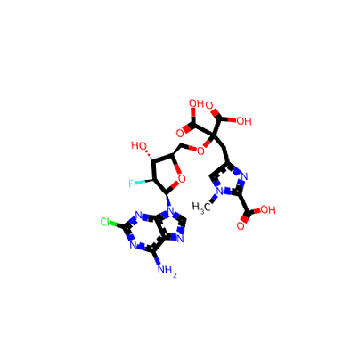 Cn1cc(CC(OC[C@H]2O[C@@H](n3cnc4c(N)nc(Cl)nc43)[C@@H](F)[C@@H]2O)(C(=O)O)C(=O)O)nc1C(=O)O